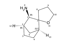 N[C@@H]1[C@@H]2CC[C@@H](C2)C12CCCO2